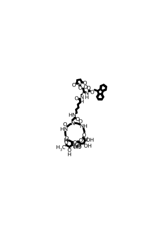 C[C@@H]1O[C@H]2OCCNC(=O)CN(CC(=O)NCCCCCC(=O)NC[C@@H](NC(=O)OCC3c4ccccc4-c4ccccc43)C(=O)ON3C(=O)CCC3=O)CC(=O)NCCO[C@@H]3O[C@@H](O[C@H]2[C@H](O)[C@@H]1O)[C@@H](O)[C@@H](O)[C@@H]3O